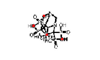 O=P(O)(O)C1N2CN3CN1C(P(=O)(O)O)(P(=O)(O)O)N(C2)C3(P(=O)(O)O)P(=O)(O)O